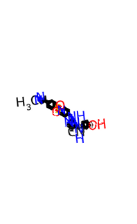 Cn1cc(-c2ccc(S(=O)(=O)N3CCC(Nc4ncc(C#N)c(N[C@@H]5CC[C@H](O)C5)n4)CC3)cc2)cn1